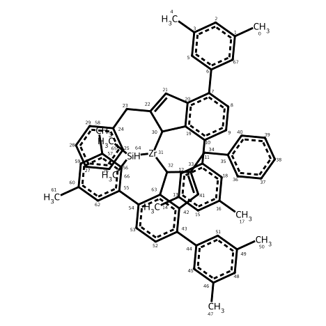 Cc1cc(C)cc(-c2ccc(-c3cc(C)cc(C)c3)c3c2C=C(Cc2ccccc2)[CH]3[Zr]([CH]2C(Cc3ccccc3)=Cc3c(-c4cc(C)cc(C)c4)ccc(-c4cc(C)cc(C)c4)c32)[SiH](C)C)c1